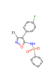 CCc1noc(NS(=O)(=O)c2ccccc2)c1-c1ccc(F)cc1